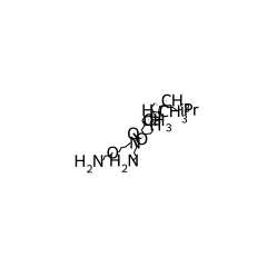 CC(C)CCC[C@@H](C)[C@H]1CC[C@H]2[C@@H]3CC=C4C[C@@H](OC(=O)N(CCCN)CCCCOCCCN)CC[C@]4(C)[C@H]3CC[C@]12C